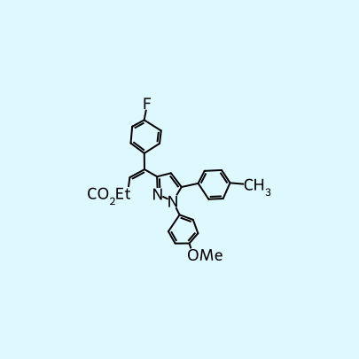 CCOC(=O)C=C(c1ccc(F)cc1)c1cc(-c2ccc(C)cc2)n(-c2ccc(OC)cc2)n1